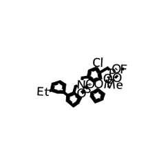 CCc1cccc(-c2ccccc2CN(Cc2ccc(CP(=O)(OF)OF)c(Cl)c2)S(=O)(=O)c2ccccc2OC)c1